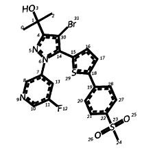 CC(C)(O)c1nn(-c2cncc(F)c2)c(-c2ccc(-c3ccc(S(C)(=O)=O)cc3)s2)c1Br